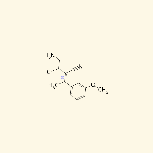 COc1cccc(/C(C)=C(\C#N)C(Cl)CN)c1